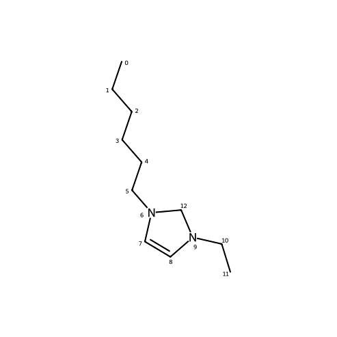 CCCCCCN1C=CN(CC)C1